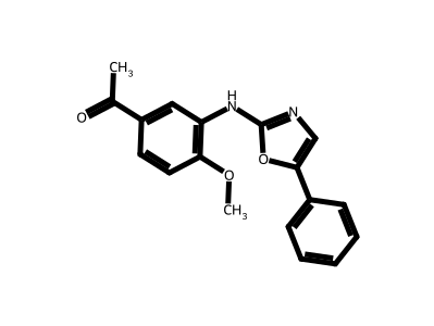 COc1ccc(C(C)=O)cc1Nc1ncc(-c2ccccc2)o1